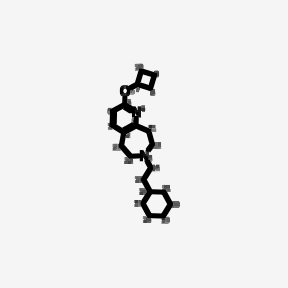 c1cc2c(nc1OC1CCC1)CCN(CCC1CCCCC1)CC2